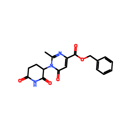 Cc1nc(C(=O)OCc2ccccc2)cc(=O)n1C1CCC(=O)NC1=O